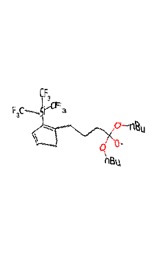 CCCCOC([O])(CCCC1=C([Si](C(F)(F)F)(C(F)(F)F)C(F)(F)F)C=CC1)OCCCC